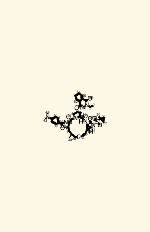 CCn1nc(O[C@@H]2C[C@H]3C(=O)N[C@]4(C(=O)NS(=O)(=O)C5(C)CC5)C[C@H]4C=CCC[C@@H](C)C[C@@H](C)[C@H](NC(=O)c4ccc(N(C)C)cc4)C(=O)N3C2)c2ccccc2c1=O